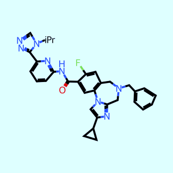 CC(C)n1cnnc1-c1cccc(NC(=O)c2cc3c(cc2F)CN(Cc2ccccc2)Cc2nc(C4CC4)cn2-3)n1